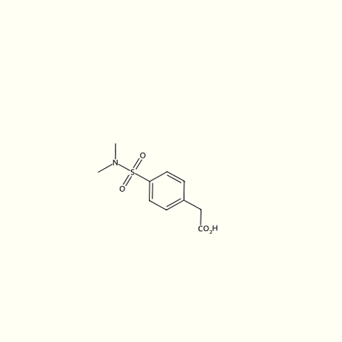 CN(C)S(=O)(=O)c1ccc(CC(=O)O)cc1